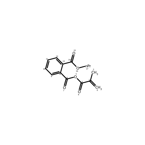 C=C(C)C(=O)OC(=O)c1ccccc1C(=O)OCCC